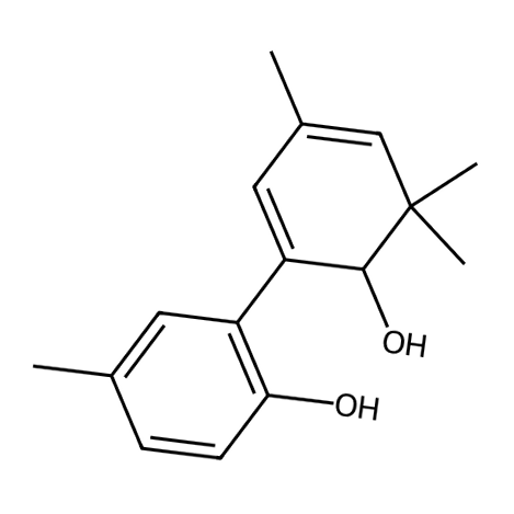 CC1=CC(C)(C)C(O)C(c2cc(C)ccc2O)=C1